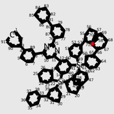 c1ccc(-c2cccc(-c3cc(-c4cc([Si](c5ccccc5)(c5ccccc5)c5cccc(-c6ccccc6)c5)cc([Si](c5ccccc5)(c5cccc(-c6ccccc6)c5)c5cccc(-c6ccccc6)c5)c4)nc(-c4cccc(-c5ccccc5)c4)n3)c2)cc1